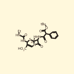 CCNC(=O)NC1S[C@@H]2C(NC(=O)C(C(=O)OC(C)(C)C)c3ccccc3)C(=O)N2C=C1C(=O)O